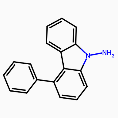 Nn1c2ccccc2c2c(-c3ccccc3)cccc21